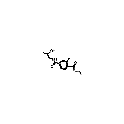 CCOC(=O)c1ccc(C(=O)NCC(C)O)cc1C